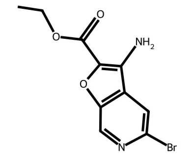 CCOC(=O)c1oc2cnc(Br)cc2c1N